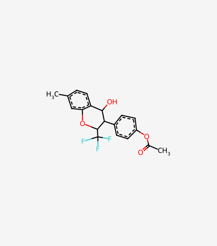 CC(=O)Oc1ccc(C2C(O)c3ccc(C)cc3OC2C(F)(F)F)cc1